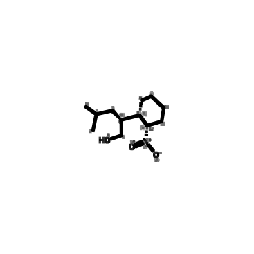 CC(C)C[C@H](CO)[C@@H]1CCCC[C@@H]1[N+](=O)[O-]